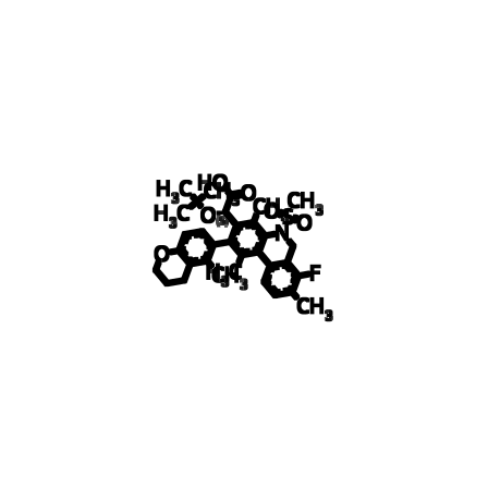 Cc1ccc2c(c1F)CN(S(C)(=O)=O)c1c(C)c([C@H](OC(C)(C)C)C(=O)O)c(-c3ccc4c(c3C)CCCO4)c(C)c1-2